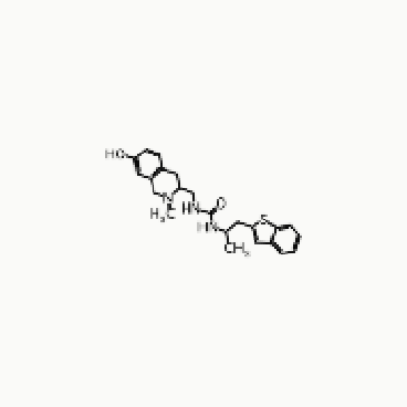 CC(Cc1cc2ccccc2s1)NC(=O)NCC1Cc2ccc(O)cc2CN1C